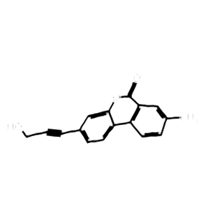 Cc1ccc2c(c1)c(=O)oc1cc(C#CCO)ccc12